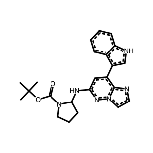 CC(C)(C)OC(=O)N1CCCC1Nc1cc(-c2c[nH]c3ccccc23)c2nccn2n1